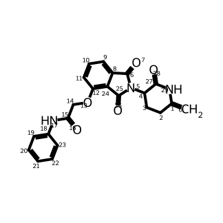 C=C1CCC(N2C(=O)c3cccc(OCC(=O)Nc4ccccc4)c3C2=O)C(=O)N1